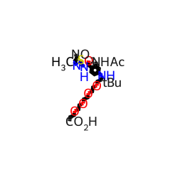 CC(=O)Nc1cc(NC(COCCOCCOCCOCCC(=O)O)C(C)(C)C)ccc1C(=O)Nc1nc(C)c([N+](=O)[O-])s1